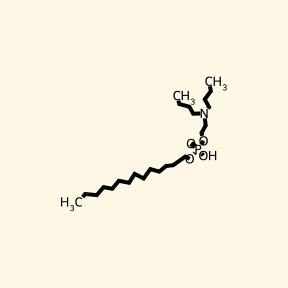 CCCCCCCCCCCCCCOP(=O)(O)OCCN(CCCC)CCCC